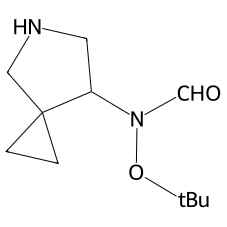 CC(C)(C)ON(C=O)C1CNCC12CC2